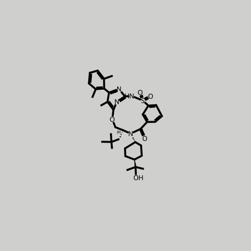 Cc1cccc(C)c1-c1nc2nc(c1C)OC[C@@H](CC(C)(C)C)N([C@H]1CC[C@H](C(C)(C)O)CC1)C(=O)c1cccc(c1)S(=O)(=O)N2